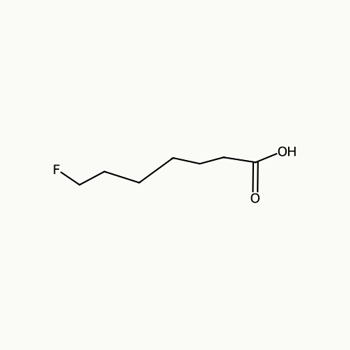 O=C(O)CCCCCCF